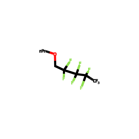 CCCOCC(F)(F)C(F)(F)C(F)(F)C(F)(F)F